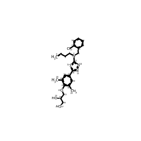 CCCCN(Cc1ccccc1Cl)c1nnc(-c2cc(C)c(OC[C@H](O)CO)c(C)c2)s1